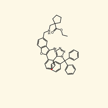 CCOC(=O)C1(CNCc2ccc3oc(-c4ccccc4-c4nnnn4C(c4ccccc4)(c4ccccc4)c4ccccc4)c(Br)c3c2)CCCC1